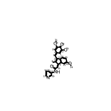 COC1=CC(=CC2=C(C)C(=CC(=O)Nc3cccnc3)c3cc(OC)ccc32)C=C(OC)C1=O